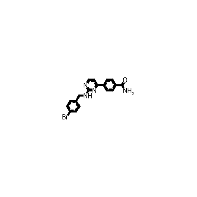 NC(=O)c1ccc(-c2ccnc(NCc3ccc(Br)cc3)n2)cc1